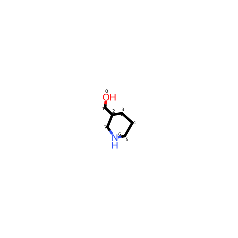 OCC1[CH]CCNC1